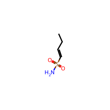 CCC=CS(N)(=O)=O